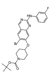 CC(C)(C)OC(=O)N1CCC(Oc2cc3nc(Nc4cccc(F)c4)ncc3cc2Br)CC1